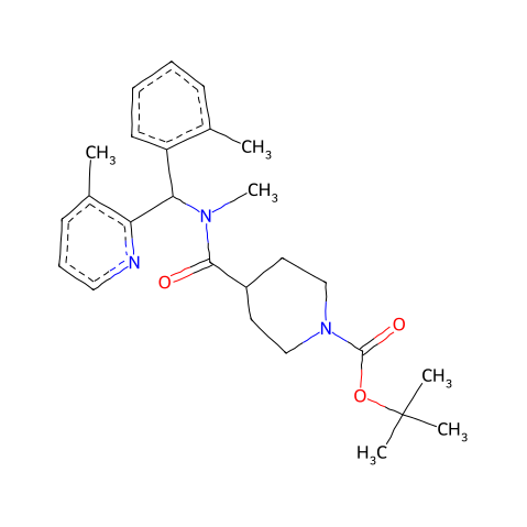 Cc1ccccc1C(c1ncccc1C)N(C)C(=O)C1CCN(C(=O)OC(C)(C)C)CC1